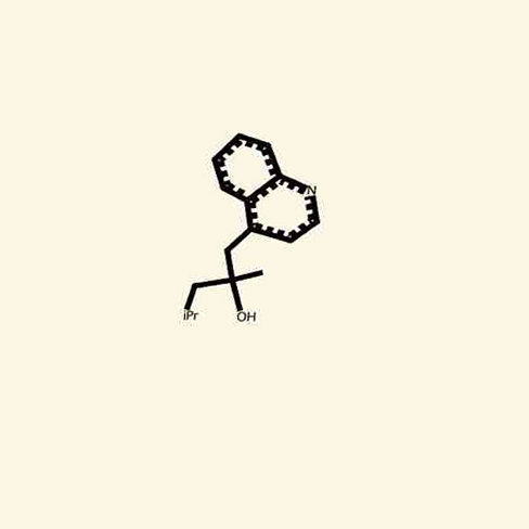 CC(C)CC(C)(O)Cc1ccnc2ccccc12